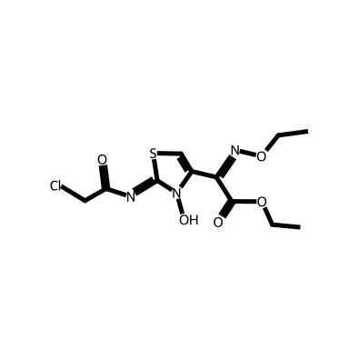 CCON=C(C(=O)OCC)c1csc(=NC(=O)CCl)n1O